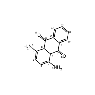 NC1=CC=C(N)C2C(=O)c3ccccc3C(=O)C12